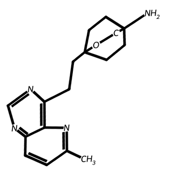 Cc1ccc2ncnc(CCC34CCC(N)(CC3)CO4)c2n1